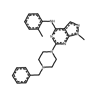 Cc1ccccc1Nc1nc(N2CCN(Cc3ccccc3)CC2)nc2c1cnn2C